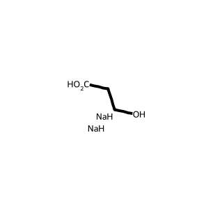 O=C(O)CCO.[NaH].[NaH]